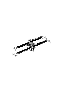 CCCCCCCCCCCCS(CCCCCCCCCCCC)=P([O-])([O-])[S-].CCCCCCCCCCS(CCCCCCCCCC)=P(O)(O)[S-].[Zn+2].[Zn+2]